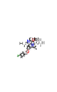 Cc1nc(C)c(C(OC(C)(C)C)C(=O)O)c(N2CC3CC3C2)c1-c1ccc(OCCc2ccc(F)cc2)cc1